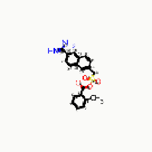 Cc1ccccc1C(=O)OS(=O)(=O)Cc1ccc2cc(C(=N)N)ccc2c1